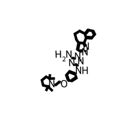 CC1(C)CCCC(C)(C)N1CCOc1ccc(Nc2nc(N)n(-c3cc4c(nn3)-c3ccccc3CCC4)n2)cc1